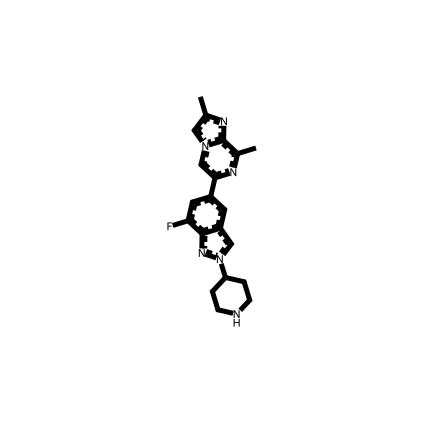 Cc1cn2cc(-c3cc(F)c4nn(C5CCNCC5)cc4c3)nc(C)c2n1